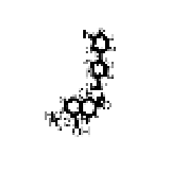 C[C@]1(CO)[C@H]2CCC3(CO3)[C@@H](CCc3ccc(-c4cccc(F)c4)cn3)[C@]2(C)CC[C@H]1O